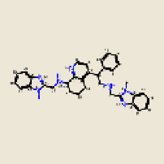 Cn1c(CNCC(c2ccccc2)c2ccnc3c2CCCC3NCc2nc3ccccc3[nH]2)nc2ccccc21